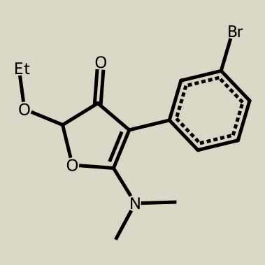 CCOC1OC(N(C)C)=C(c2cccc(Br)c2)C1=O